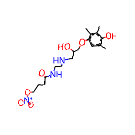 Cc1cc(OCC(O)CNCCNC(=O)CCCO[N+](=O)[O-])c(C)c(C)c1O